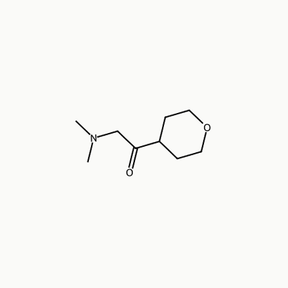 CN(C)CC(=O)C1CCOCC1